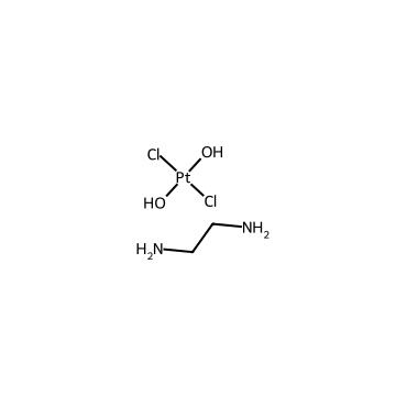 NCCN.[OH][Pt]([OH])([Cl])[Cl]